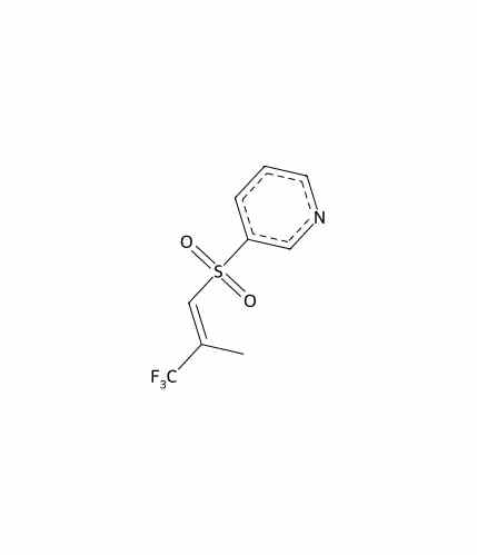 C/C(=C\S(=O)(=O)c1cccnc1)C(F)(F)F